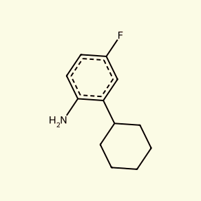 Nc1ccc(F)cc1C1CCCCC1